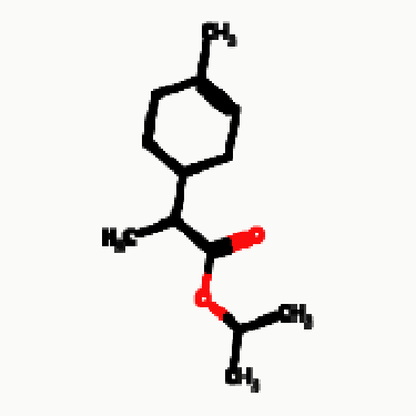 CC1=CCC(C(C)C(=O)OC(C)C)CC1